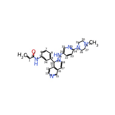 C=CC(=O)Nc1cccc(C2c3ccncc3C=CN2Nc2ccc(N3CCN(C)CC3)nc2)c1